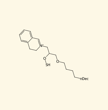 CCCCCCCCCCCCCCOCC(C[N+]1=Cc2ccccc2CC1)OS